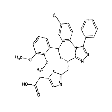 COc1cccc(C2SC(Cc3ncc(CC(=O)O)s3)c3nnc(-c4ccccc4)n3-c3ccc(Cl)cc32)c1OC